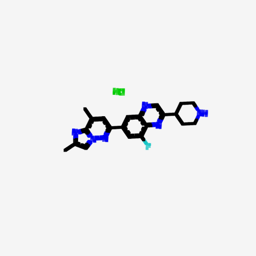 Cc1cn2nc(-c3cc(F)c4nc(C5CCNCC5)cnc4c3)cc(C)c2n1.Cl